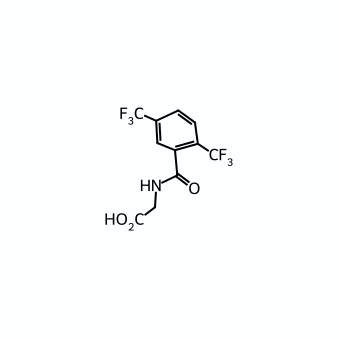 O=C(O)CNC(=O)c1cc(C(F)(F)F)ccc1C(F)(F)F